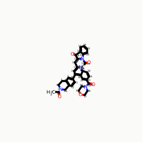 CC(=O)N1CCc2cc(-c3cc(/C=C4/C(=O)c5ccccc5N4C(C)=O)nc4ccc(C(=O)N5CCOCC5)cc34)ccc2C1